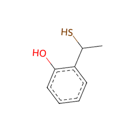 CC(S)c1ccccc1O